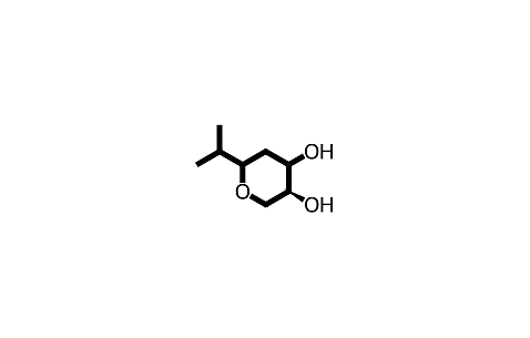 CC(C)C1CC(O)[C@@H](O)CO1